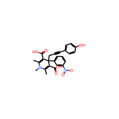 CC1=C(C(=O)O)C(CC#Cc2ccc(O)cc2)(c2cccc([N+](=O)[O-])c2)C(C(=O)O)=C(C)N1C